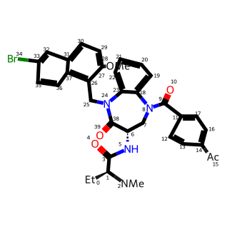 CC[C@H](NC)C(=O)N[C@H]1CN(C(=O)c2ccc(C(C)=O)cc2)c2ccccc2N(Cc2c(OC)ccc3cc(Br)ccc23)C1=O